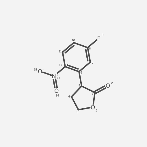 O=C1OCCC1c1cc(F)ccc1[N+](=O)[O-]